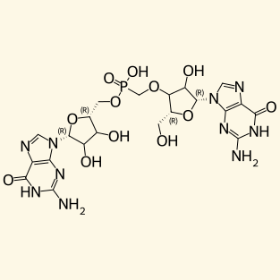 Nc1nc2c(ncn2[C@@H]2O[C@H](COP(=O)(O)COC3C(O)[C@H](n4cnc5c(=O)[nH]c(N)nc54)O[C@@H]3CO)C(O)C2O)c(=O)[nH]1